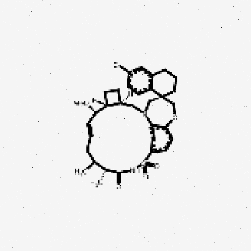 CO[C@@H]1/C=C/CC(C)[C@@H](C)C(=O)NS(=O)(=O)c2ccc3c(c2)N(C[C@@H]2CC[C@H]21)C[C@@]1(CCCc2cc(Cl)ccc21)CO3